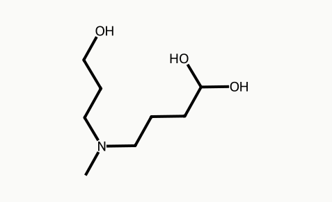 CN(CCCO)CCCC(O)O